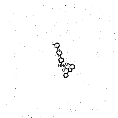 Cc1cccc(N2CCN(c3ccc(NC(=O)C(=O)c4c(-c5ccccc5)cc5cccc(C)n45)cc3)CC2)n1